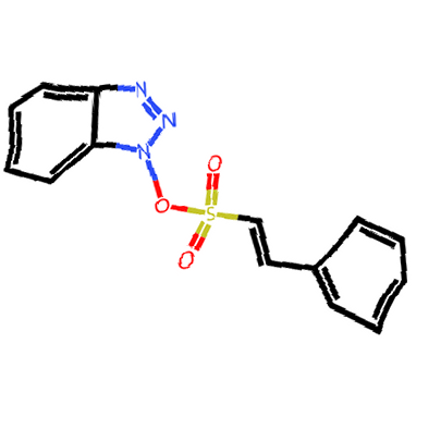 O=S(=O)(/C=C/c1ccccc1)On1nnc2ccccc21